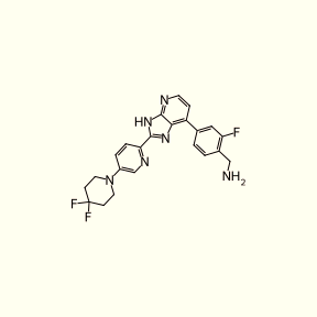 NCc1ccc(-c2ccnc3[nH]c(-c4ccc(N5CCC(F)(F)CC5)cn4)nc23)cc1F